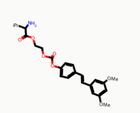 COc1cc(/C=C/c2ccc(OC(=O)OCCOC(=O)C(N)C(C)C)cc2)cc(OC)c1